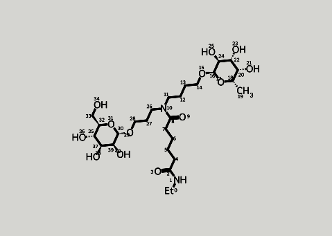 CCNC(=O)CCCCC(=O)N(CCCCO[C@@H]1O[C@@H](C)[C@@H](O)[C@@H](O)[C@@H]1O)CCCO[C@H]1O[C@H](CO)[C@@H](O)[C@H](O)[C@@H]1O